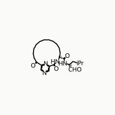 CC(C)C[C@@H](C=O)NC(=O)[C@@H]1CCCCCCCCCCCC(=O)c2cncc(n2)C(=O)N1